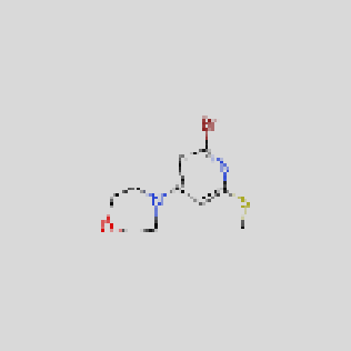 CSc1cc(N2CCOCC2)cc(Br)n1